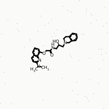 CN(C)c1ccc2cccc(OCC(=O)NC[C@@H](O)CN3CCc4ccccc4C3)c2n1